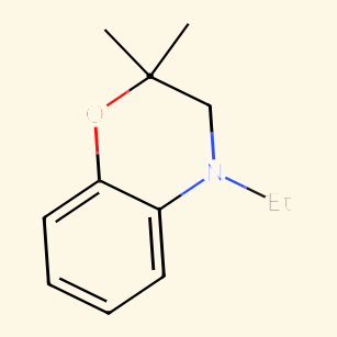 CCN1CC(C)(C)Oc2ccccc21